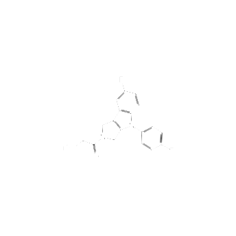 CC(C)(C)CC(=O)N1Cc2c(n(-c3ccc(F)cc3)c3ccc(F)cc23)C1